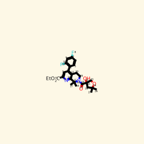 CCOC(=O)c1cc(-c2ccc(F)cc2F)c2c(n1)C(C)(C)N(C(=O)C1(O)COC(C)(C)C1)CC2